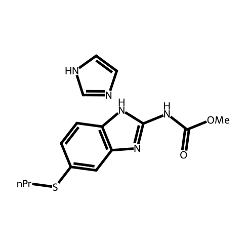 CCCSc1ccc2[nH]c(NC(=O)OC)nc2c1.c1c[nH]cn1